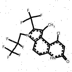 Cc1c(C(F)(F)F)n(CC(F)(F)C(F)(F)F)c2ccc3[nH]c(=O)cc(Cl)c3c12